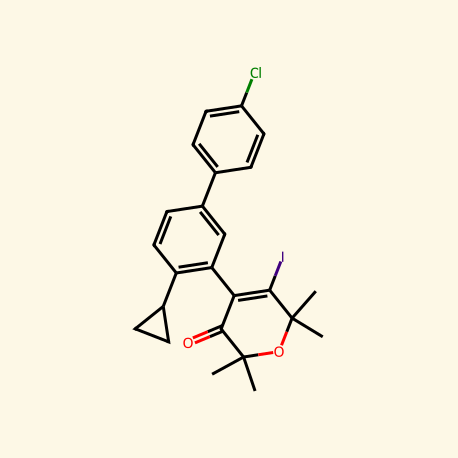 CC1(C)OC(C)(C)C(I)=C(c2cc(-c3ccc(Cl)cc3)ccc2C2CC2)C1=O